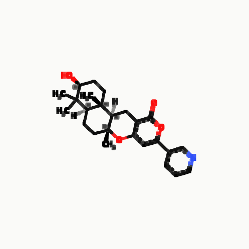 CC1(C)[C@@H](O)CC[C@]2(C)[C@H]3Cc4c(cc(-c5cccnc5)oc4=O)O[C@]3(C)CC[C@@H]12